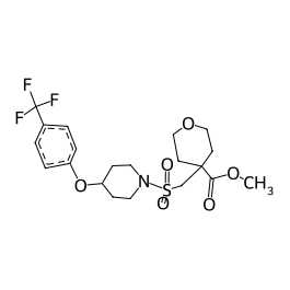 COC(=O)C1(CS(=O)(=O)N2CCC(Oc3ccc(C(F)(F)F)cc3)CC2)CCOCC1